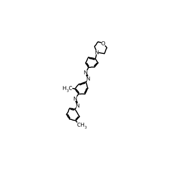 Cc1cccc(/N=N/c2ccc(/N=N/c3ccc(N4CCOCC4)cc3)cc2C)c1